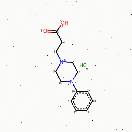 Cl.O=C(O)CCN1CCN(c2ccccc2)CC1